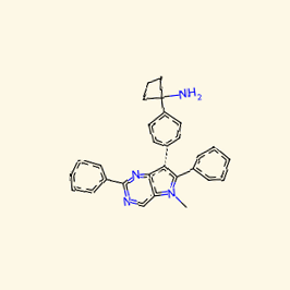 Cn1c(-c2ccccc2)c(-c2ccc(C3(N)CCC3)cc2)c2nc(-c3ccccc3)ncc21